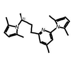 Cc1cc(CC[C@H](C)n2c(C)ccc2C)nc(-n2c(C)ccc2C)c1